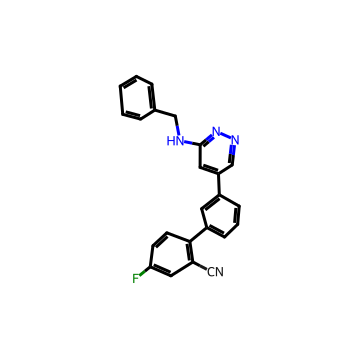 N#Cc1cc(F)ccc1-c1cccc(-c2cnnc(NCc3ccccc3)c2)c1